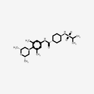 Cc1cc(NC(=O)[C@H]2CC[C@H](NS(=O)(=O)C(C)C)CC2)cc(C)c1N1C[C@@H](C)O[C@@H](C)C1